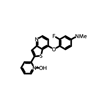 CNc1ccc(Oc2ccnc3cc(-c4cccc[n+]4O)sc23)c(F)c1